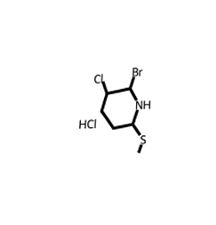 CSC1CCC(Cl)C(Br)N1.Cl